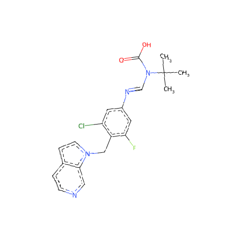 CC(C)(C)N(C=Nc1cc(F)c(Cn2ccc3ccncc32)c(Cl)c1)C(=O)O